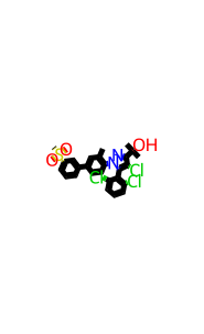 Cc1cc(-c2cccc(S(C)(=O)=O)c2)ccc1-n1nc(C(C)(C)O)c(Cl)c1-c1c(Cl)cccc1Cl